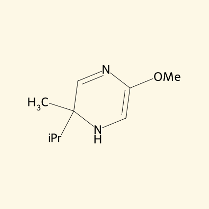 COC1=CNC(C)(C(C)C)C=N1